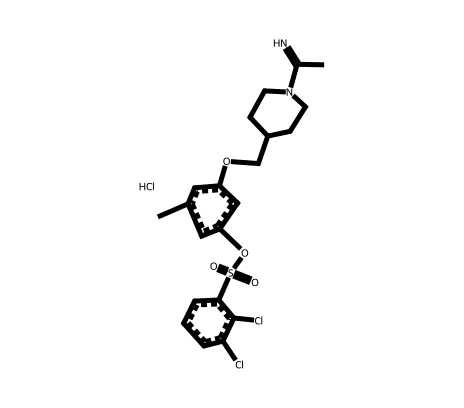 CC(=N)N1CCC(COc2cc(C)cc(OS(=O)(=O)c3cccc(Cl)c3Cl)c2)CC1.Cl